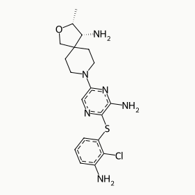 C[C@H]1OCC2(CCN(c3cnc(Sc4cccc(N)c4Cl)c(N)n3)CC2)[C@H]1N